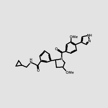 COc1cc(C(=O)N2CC(OC)CC2c2cccc(C(=O)NCC3CC3)c2)ccc1-c1cn[nH]c1